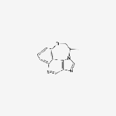 C=C1COc2cccc3ncc4ncn1c4c23